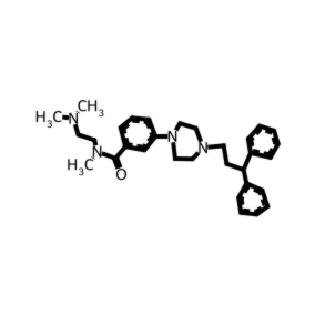 CN(C)CCN(C)C(=O)c1cccc(N2CCN(CCC(c3ccccc3)c3ccccc3)CC2)c1